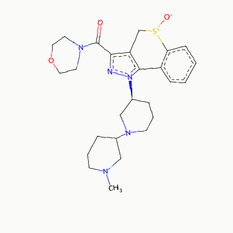 CN1CCCC(N2CCC[C@H](n3nc(C(=O)N4CCOCC4)c4c3-c3ccccc3[S+]([O-])C4)C2)C1